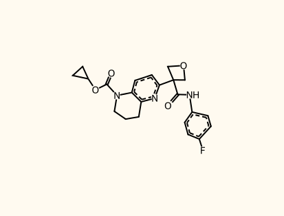 O=C(OC1CC1)N1CCCc2nc(C3(C(=O)Nc4ccc(F)cc4)COC3)ccc21